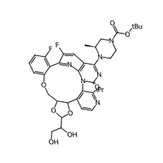 CC(C)c1nccc2c1-n1c(=O)nc(N3CCN(C(=O)OC(C)(C)C)C[C@@H]3C)c3cc(F)c(nc31)-c1c(F)cccc1OCC1OC(C(O)CO)OC21